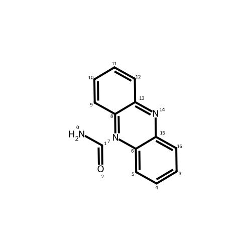 NC=O.c1ccc2nc3ccccc3nc2c1